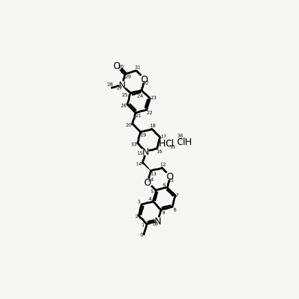 Cc1ccc2c3c(ccc2n1)OC[C@H](CN1CCCC(Cc2ccc4c(c2)N(C)C(=O)CO4)C1)O3.Cl.Cl